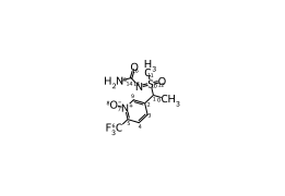 CC(c1ccc(C(F)(F)F)[n+]([O-])c1)S(C)(=O)=NC(N)=O